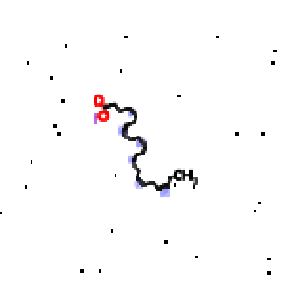 CC/C=C\C/C=C\C/C=C\C/C=C\C/C=C\C/C=C\CCC(=O)OI